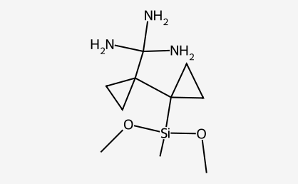 CO[Si](C)(OC)C1(C2(C(N)(N)N)CC2)CC1